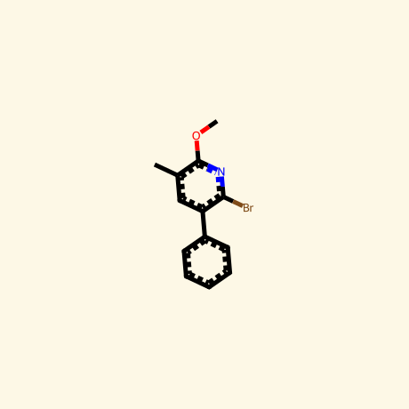 COc1nc(Br)c(-c2ccccc2)cc1C